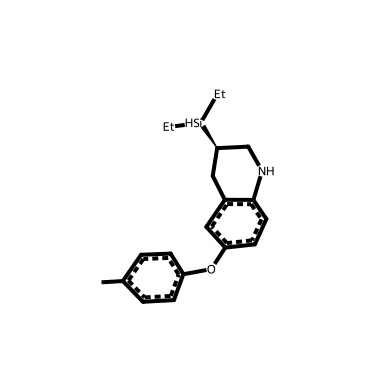 CC[SiH](CC)[C@H]1CNc2ccc(Oc3ccc(C)cc3)cc2C1